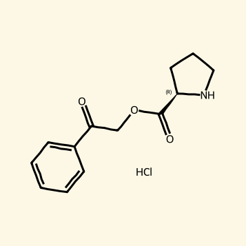 Cl.O=C(COC(=O)[C@H]1CCCN1)c1ccccc1